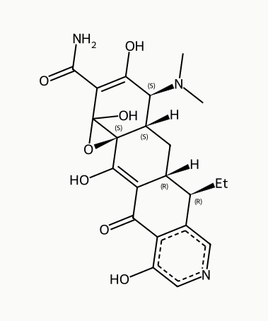 CC[C@H]1c2cncc(O)c2C(=O)C2=C(O)[C@]34OC3(O)C(C(N)=O)=C(O)[C@@H](N(C)C)[C@@H]4C[C@@H]21